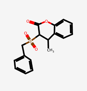 CC1c2ccccc2OC(=O)C1S(=O)(=O)Cc1ccccc1